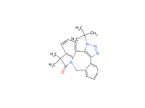 CC1(C)C(=O)N2Cc3ccccc3-c3nnn(C(C)(C)C)c3-c3cccc1c32